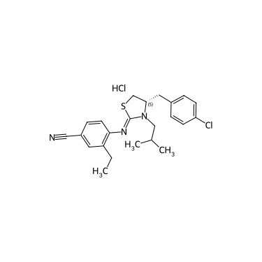 CCc1cc(C#N)ccc1N=C1SC[C@H](Cc2ccc(Cl)cc2)N1CC(C)C.Cl